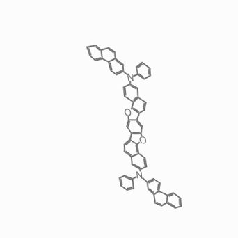 c1ccc(N(c2ccc3c(ccc4ccccc43)c2)c2ccc3c(ccc4c5cc6oc7c8ccc(N(c9ccccc9)c9ccc%10c(ccc%11ccccc%11%10)c9)cc8ccc7c6cc5oc34)c2)cc1